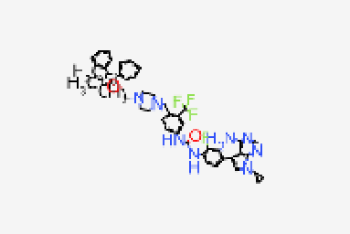 CC(C)(C)[Si](OCCN1CCN(Cc2ccc(NC(=O)Nc3ccc(-c4cn(C5CC5)c5ncnc(N)c45)cc3F)cc2C(F)(F)F)CC1)(c1ccccc1)c1ccccc1